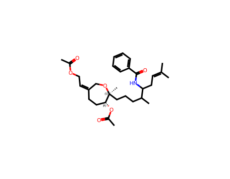 CC(=O)OCC=C1CC[C@@H](OC(C)=O)[C@](C)(CCCC(C)C(CC=C(C)C)NC(=O)c2ccccc2)OC1